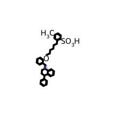 Cc1ccc(S(=O)(=O)O)c(CCCCCCOc2ccccc2/C=C2\CCC(c3ccccc3)c3ccccc32)c1